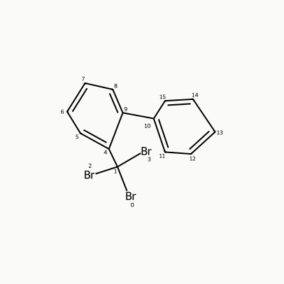 BrC(Br)(Br)c1ccccc1-c1ccccc1